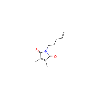 C=CCCCN1C(=O)C(C)=C(C)C1=O